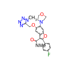 CNC(=O)c1c(-c2ccc(F)cc2)oc2cc(N3CCOCC3)c(OCc3nnnn3C)cc12